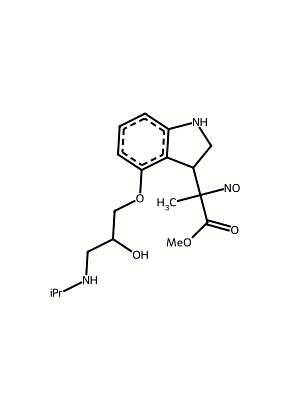 COC(=O)C(C)(N=O)C1CNc2cccc(OCC(O)CNC(C)C)c21